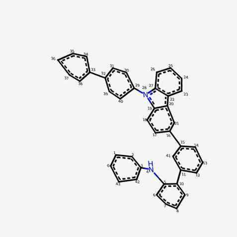 c1ccc(Nc2ccccc2-c2cccc(-c3ccc4c(c3)c3ccccc3n4-c3ccc(-c4ccccc4)cc3)c2)cc1